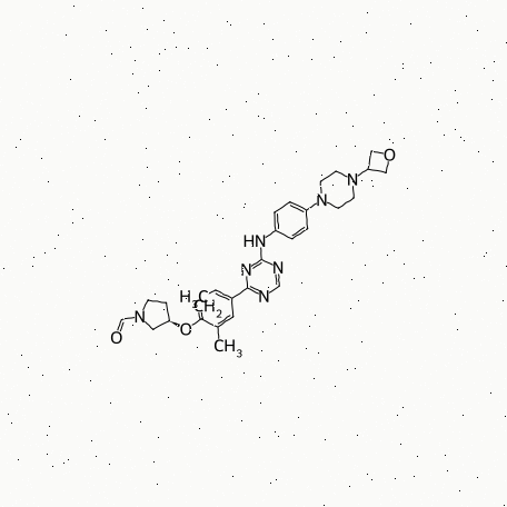 C=C(O[C@@H]1CCN(C=O)C1)/C(C)=C\C(=C/C)c1ncnc(Nc2ccc(N3CCN(C4COC4)CC3)cc2)n1